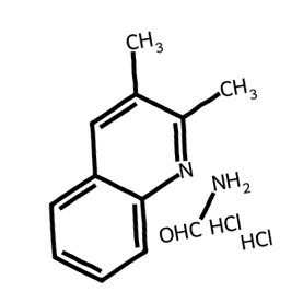 Cc1cc2ccccc2nc1C.Cl.Cl.NC=O